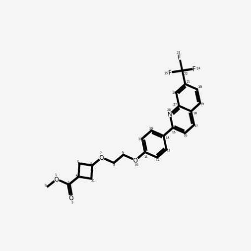 COC(=O)C1CC(OCCOc2ccc(-c3ccc4ccc(C(F)(F)F)cc4n3)cc2)C1